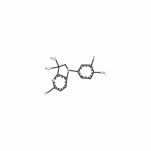 Cc1ccc(N2CC(C)(C)c3nc(Cl)ccc32)cc1F